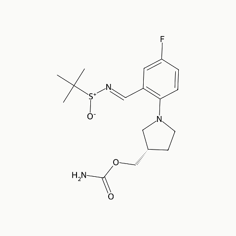 CC(C)(C)[S+]([O-])/N=C/c1cc(F)ccc1N1CC[C@H](COC(N)=O)C1